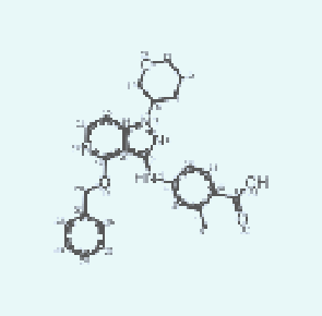 Cc1cc(Nc2nn(C3CCCOC3)c3ccnc(OCc4ccccc4)c23)ccc1C(=O)O